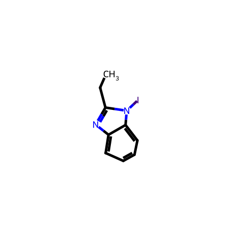 CCc1nc2ccccc2n1I